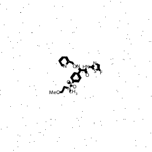 COCCN(C)S(=O)(=O)c1ccc(/C(=N\OCc2ccccn2)C(=O)Nc2ncc(F)s2)cc1